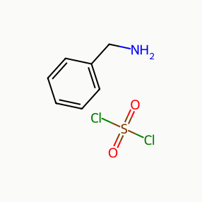 NCc1ccccc1.O=S(=O)(Cl)Cl